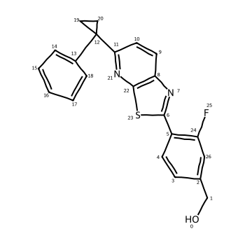 OCc1ccc(-c2nc3ccc(C4(c5ccccc5)CC4)nc3s2)c(F)c1